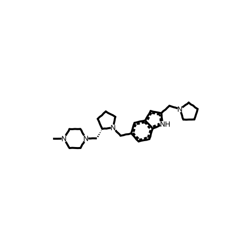 CN1CCN(C[C@@H]2CCCN2Cc2ccc3[nH]c(CN4CCCC4)cc3c2)CC1